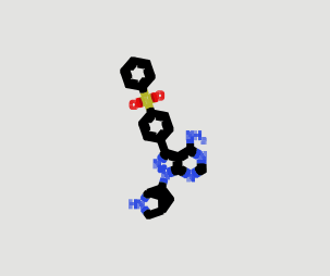 Nc1ncnc2c1c(-c1ccc(S(=O)(=O)c3ccccc3)cc1)nn2C1CC2CNC1C2